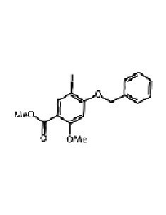 COC(=O)c1cc(I)c(OCc2ccccc2)cc1OC